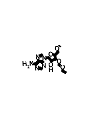 CCOCOC1C(COC)OC(n2cnc3c(N)ncnc32)C1O